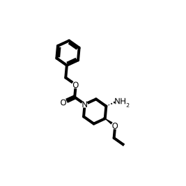 CCO[C@H]1CCN(C(=O)OCc2ccccc2)C[C@@H]1N